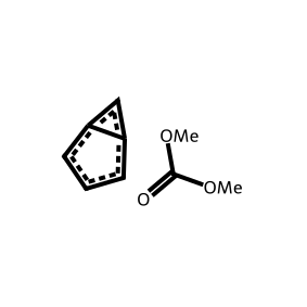 COC(=O)OC.c1cc2cc-2c1